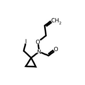 C=CCON(C=O)C1(CI)CC1